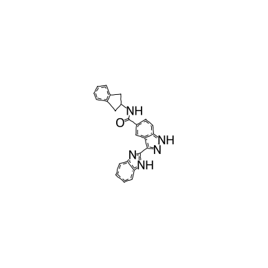 O=C(NC1Cc2ccccc2C1)c1ccc2[nH]nc(-c3nc4ccccc4[nH]3)c2c1